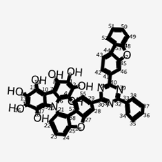 Oc1c(O)c(O)c2c(c1O)c1c(O)c(O)c(O)c(O)c1n2-c1cccc2oc3cc(-c4nc(-c5ccccc5)nc(-c5ccc6c(c5)oc5ccccc56)n4)ccc3c12